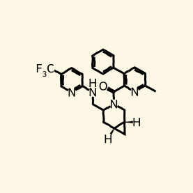 Cc1ccc(-c2ccccc2)c(C(=O)N2C[C@@H]3C[C@@H]3CC2CNc2ccc(C(F)(F)F)cn2)n1